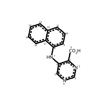 O=C(O)c1ncncc1Nc1cccc2ccccc12